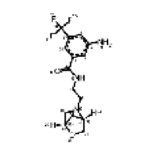 Nc1cc(C(=O)NCCN2C[C@@H]3C[C@H]2CO3)cc(C(F)(F)F)c1